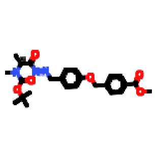 COC(=O)c1ccc(COc2ccc(C/N=N/C(=O)[C@H](C)N(C)C(=O)OC(C)(C)C)cc2)cc1